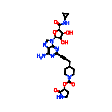 Nc1nc(C#CCC2CCN(C(=O)OC3CCNC3=O)CC2)nc2c1ncn2[C@@H]1O[C@H](C(=O)NC2CC2)[C@H](O)C1O